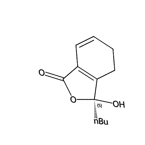 CCCC[C@]1(O)OC(=O)C2=C1CCC=C2